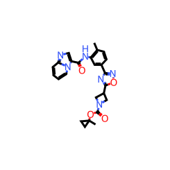 Cc1ccc(-c2noc(C3CN(C(=O)OC4(C)CC4)C3)n2)cc1NC(=O)c1cnc2ccccn12